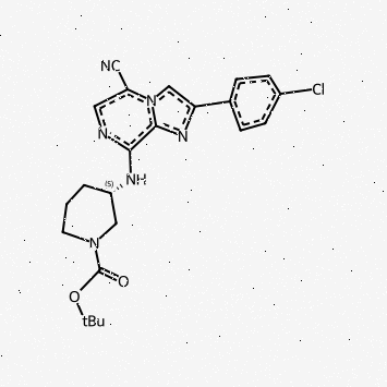 CC(C)(C)OC(=O)N1CCC[C@H](Nc2ncc(C#N)n3cc(-c4ccc(Cl)cc4)nc23)C1